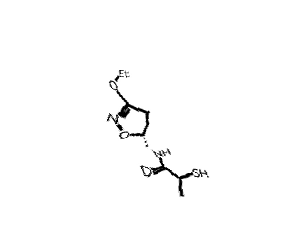 CCOC1=NO[C@@H](NC(=O)C(C)S)C1